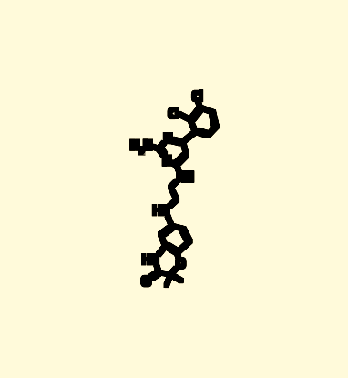 CC1(C)Oc2ccc(NCCNc3cc(-c4cccc(Cl)c4Cl)nc(N)n3)cc2NC1=O